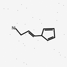 [Ni][CH2]C=CC1C=CC=C1